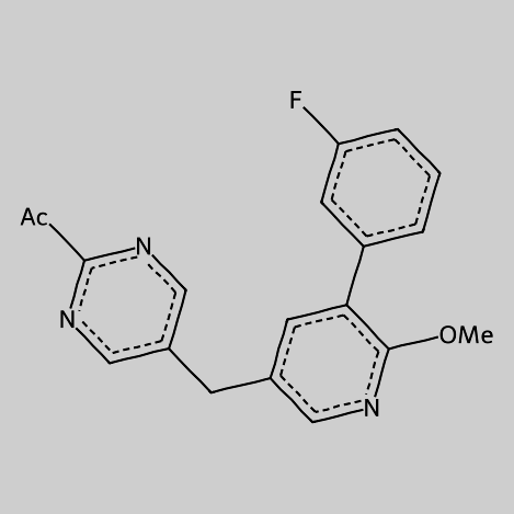 COc1ncc(Cc2cnc(C(C)=O)nc2)cc1-c1cccc(F)c1